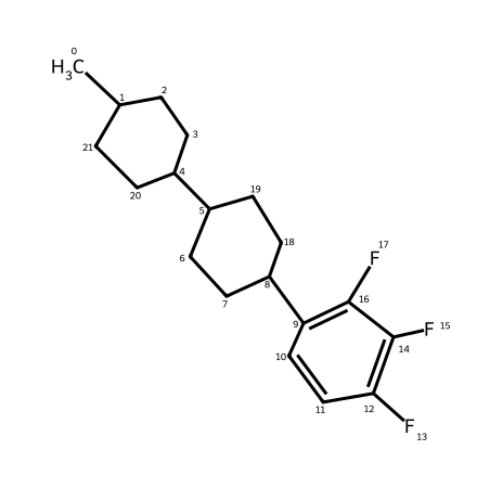 CC1CCC(C2CCC(c3ccc(F)c(F)c3F)CC2)CC1